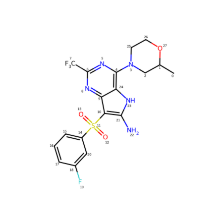 CC1CN(c2nc(C(F)(F)F)nc3c(S(=O)(=O)c4cccc(F)c4)c(N)[nH]c23)CCO1